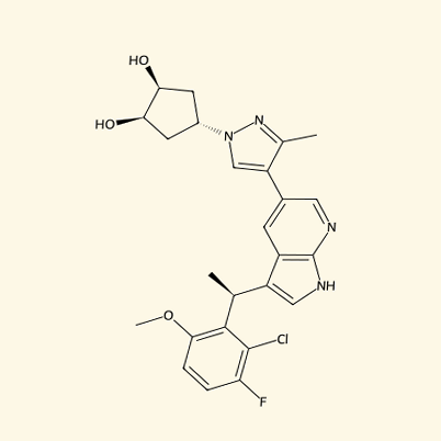 COc1ccc(F)c(Cl)c1[C@@H](C)c1c[nH]c2ncc(-c3cn([C@@H]4C[C@@H](O)[C@@H](O)C4)nc3C)cc12